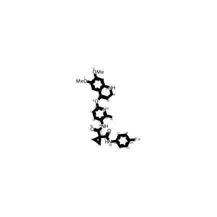 COc1cc2c(cc1OC)C(Oc1ccc(NC(=O)C3(C(=O)Nc4ccc(F)cc4)CC3)c(C)n1)=CCN2